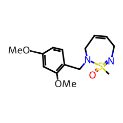 COc1ccc(CN2CC=CCN=S2(C)=O)c(OC)c1